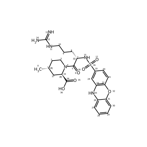 C[C@@H]1CCN(C(=O)[C@H](CCCNC(=N)N)NS(=O)(=O)c2ccc3c(c2)Nc2ccccc2O3)[C@@H](C(=O)O)C1